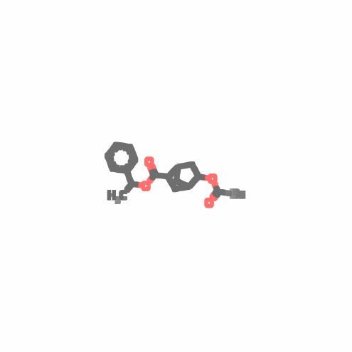 CCC(C)C(=O)OC1CC2CC1CC2C(=O)OC(C)c1ccccc1